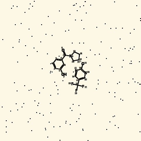 O=C(c1cccc(O)c1)N1CC[C@H](Oc2ncc(C(F)(F)F)cn2)C1